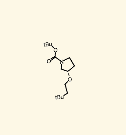 CC(C)(C)CCO[C@H]1CCN(C(=O)OC(C)(C)C)C1